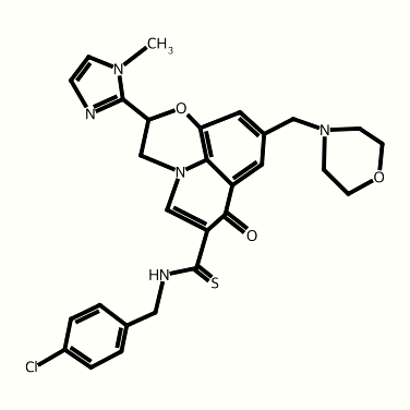 Cn1ccnc1C1Cn2cc(C(=S)NCc3ccc(Cl)cc3)c(=O)c3cc(CN4CCOCC4)cc(c32)O1